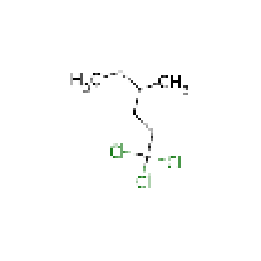 CCC(C)CCC(Cl)(Cl)Cl